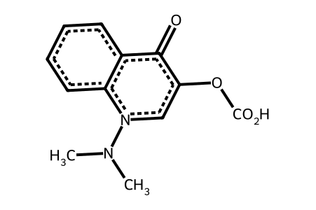 CN(C)n1cc(OC(=O)O)c(=O)c2ccccc21